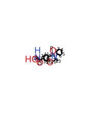 COc1ccccc1N1Cc2ccc(C(=O)NO)cc2OCC1C